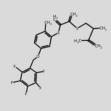 C=C(SCC(C)C(=C)C)C(=C)Sc1cc(OCc2c(F)c(F)c(F)c(F)c2F)ccc1C